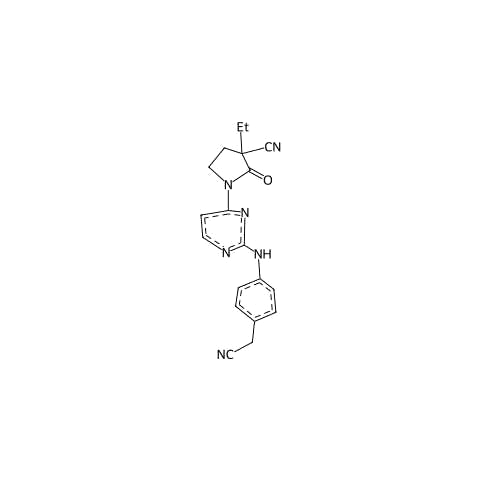 CCC1(C#N)CCN(c2ccnc(Nc3ccc(CC#N)cc3)n2)C1=O